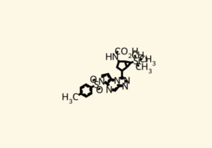 Cc1ccc(S(=O)(=O)n2ccc3c2ncc2nnc(C4CC(NC(=O)O)C5C4C5[Si](C)(C)C)n23)cc1